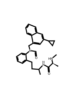 CN[C@@H](C)C(=O)NC(C)CCc1ccccc1N(C=O)Cc1cc(C2CC2)cc2ccccc12